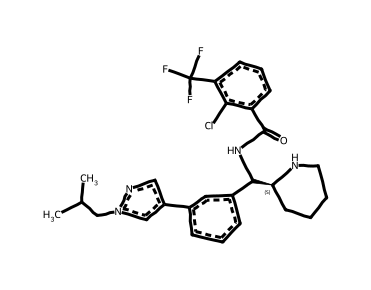 CC(C)Cn1cc(-c2cccc(C(NC(=O)c3cccc(C(F)(F)F)c3Cl)[C@@H]3CCCCN3)c2)cn1